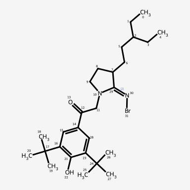 CCC(CC)CCC1CCN(CC(=O)c2cc(C(C)(C)C)c(O)c(C(C)(C)C)c2)/C1=N\Br